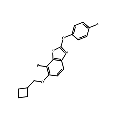 Fc1ccc(Oc2nc3ccc(OCC4CCC4)c(F)c3s2)cc1